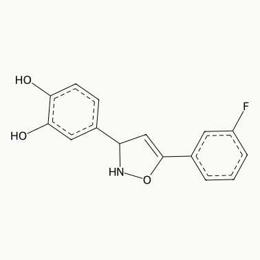 Oc1ccc(C2C=C(c3cccc(F)c3)ON2)cc1O